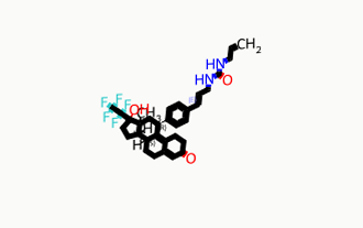 C=CCNC(=O)NC/C=C/c1ccc([C@H]2C[C@@]3(C)[C@@H](CC[C@@]3(O)C(F)(F)C(F)(F)F)[C@@H]3CCC4=CC(=O)CCC4=C32)cc1